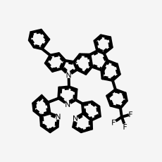 FC(F)(F)c1ccc(-c2ccc3c4ccccc4c4cc5c6cc(-c7ccccc7)ccc6n(-c6cc(-c7cccc8cccnc78)nc(-c7cccc8cccnc78)c6)c5cc4c3c2)cc1